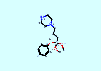 CO[Si](CCCN1CCNCC1)(OC)Oc1ccccc1